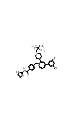 CC(C)(C)CN1CCC(C2=CC(c3cc(Cl)cc(Cl)c3)=CC=CN2Cc2ccc(C(=O)Nc3nnn[nH]3)cc2)CC1